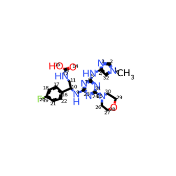 Cn1cnc(Nc2nc(NC(CNC(=O)O)c3ccc(F)cc3)nc(N3CCOCC3)n2)c1